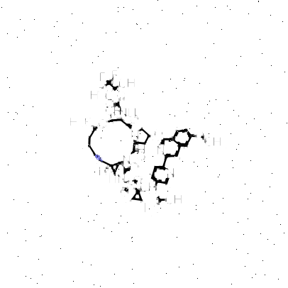 COc1ccc2c(O[C@@H]3C[C@H]4C(=O)N[C@]5(C(=O)NS(=O)(=O)C6(C)CC6)C[C@H]5/C=C\CC[C@@H](C)O[C@@H](C)[C@H](NC(=O)OC(C)(C)C(F)(F)F)C(=O)N4C3)nc(-c3ccc(OC(C)C)cn3)cc2c1